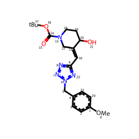 COc1ccc(Cn2nnc(/C=C3\CN(C(=O)OC(C)(C)C)CCC3O)n2)cc1